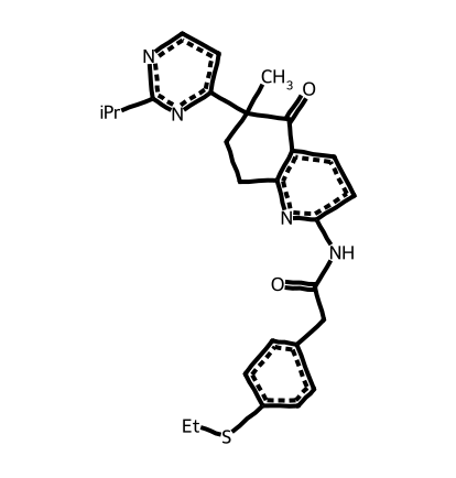 CCSc1ccc(CC(=O)Nc2ccc3c(n2)CCC(C)(c2ccnc(C(C)C)n2)C3=O)cc1